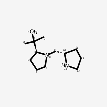 CC(C)(O)[C@@H]1CCCN1C[C@@H]1CCCN1